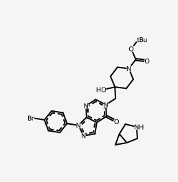 C1NCC2CC12.CC(C)(C)OC(=O)N1CCC(O)(Cn2cnc3c(cnn3-c3ccc(Br)cc3)c2=O)CC1